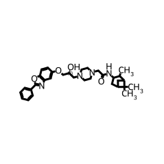 CC1C(NC(=O)CN2CCN(C[C@@H](O)COc3ccc4oc(-c5ccccc5)nc4c3)CC2)CC2CC1C2(C)C